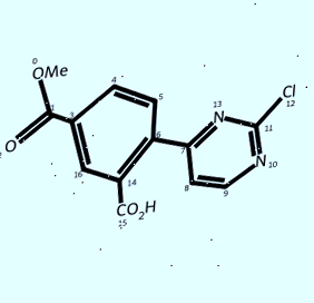 COC(=O)c1ccc(-c2ccnc(Cl)n2)c(C(=O)O)c1